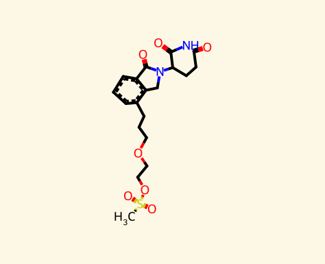 CS(=O)(=O)OCCOCCCc1cccc2c1CN(C1CCC(=O)NC1=O)C2=O